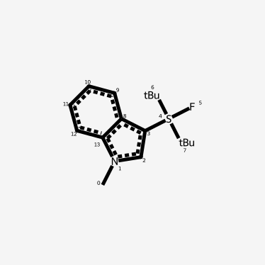 Cn1cc(S(F)(C(C)(C)C)C(C)(C)C)c2ccccc21